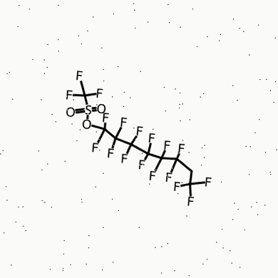 O=S(=O)(OC(F)(F)C(F)(F)C(F)(F)C(F)(F)C(F)(F)C(F)(F)CC(F)(F)F)C(F)(F)F